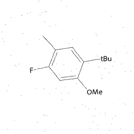 COc1cc(F)c(C)cc1C(C)(C)C